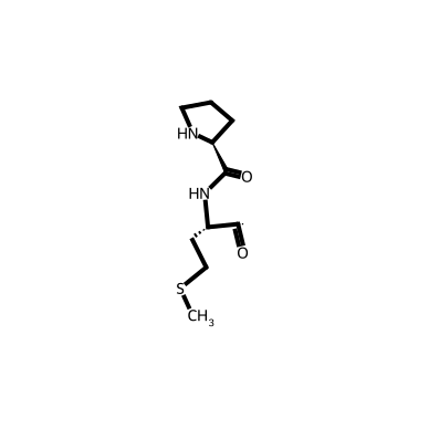 CSCC[C@@H]([C]=O)NC(=O)[C@@H]1CCCN1